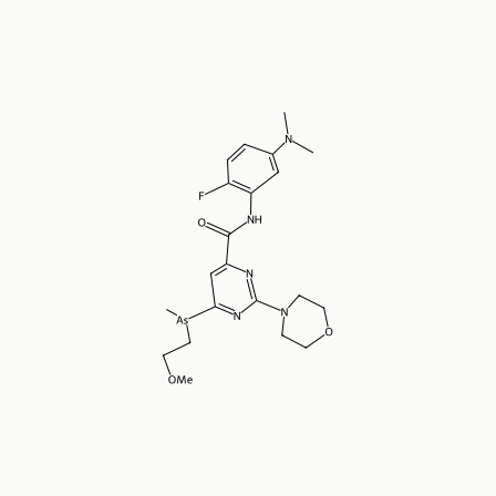 COCC[As](C)c1cc(C(=O)Nc2cc(N(C)C)ccc2F)nc(N2CCOCC2)n1